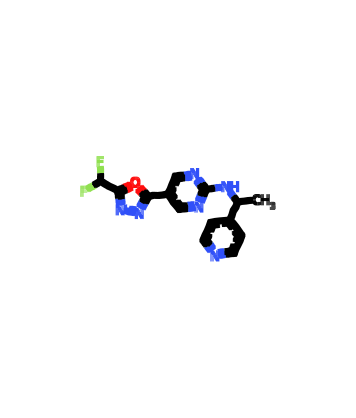 CC(Nc1ncc(-c2nnc(C(F)F)o2)cn1)c1ccncc1